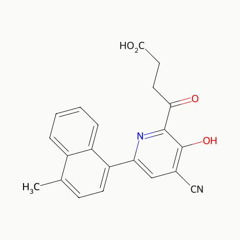 Cc1ccc(-c2cc(C#N)c(O)c(C(=O)CCC(=O)O)n2)c2ccccc12